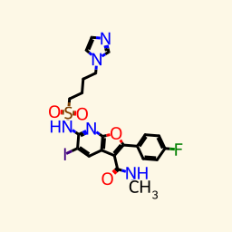 CNC(=O)c1c(-c2ccc(F)cc2)oc2nc(NS(=O)(=O)CCCCn3ccnc3)c(I)cc12